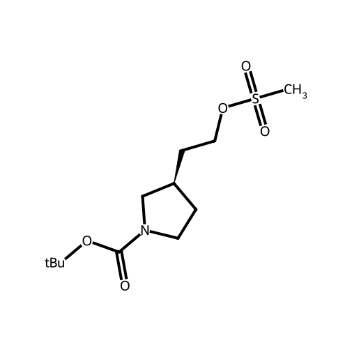 CC(C)(C)OC(=O)N1CC[C@H](CCOS(C)(=O)=O)C1